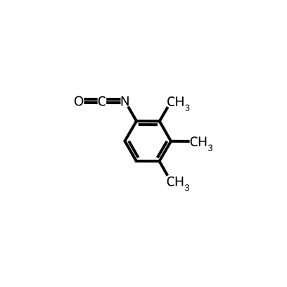 Cc1ccc(N=C=O)c(C)c1C